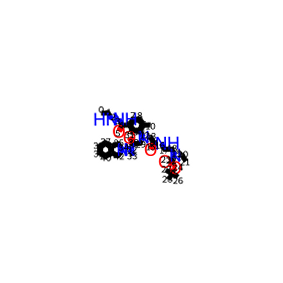 CCNNC(=O)c1ccc(C)c(N(CC(=O)NCCN(CC)C(=O)OC(C)(C)C)CC(=O)N(C)N2Cc3ccccc3C2)c1